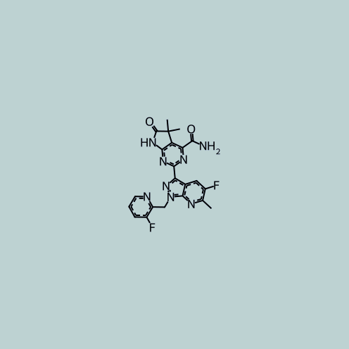 Cc1nc2c(cc1F)c(-c1nc3c(c(C(N)=O)n1)C(C)(C)C(=O)N3)nn2Cc1ncccc1F